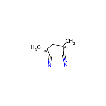 C[C@@H](C#N)C[C@@H](C)C#N